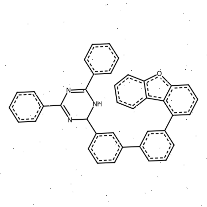 c1ccc(C2=NC(c3cccc(-c4cccc(-c5cccc6oc7ccccc7c56)c4)c3)NC(c3ccccc3)=N2)cc1